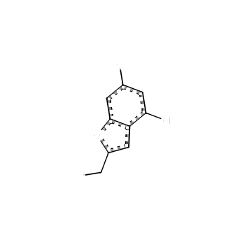 OCc1cc2c(Cl)cc(Cl)cc2o1